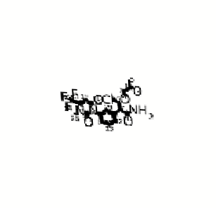 CC(=O)COC(Cl)=C(C(N)=O)c1cccc(-n2c(=O)cc(C(F)(F)F)n(C)c2=O)c1